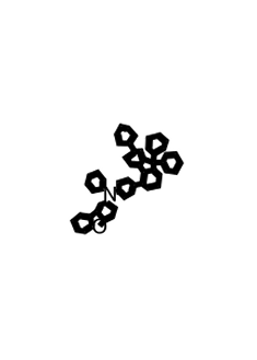 c1ccc(-c2ccc3c(c2)C(c2ccccc2)(c2ccccc2)c2cccc(-c4ccc(N(c5ccccc5)c5ccc6oc7ccccc7c6c5)cc4)c2-3)cc1